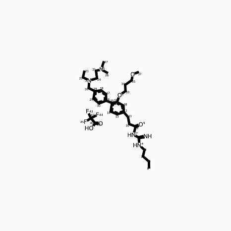 CCCCNC(=N)NC(=O)CCc1ccc(-c2ccc(CN(CC)CCN(C)C)cc2)c(OCCCOC)c1.O=C(O)C(F)(F)F